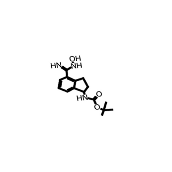 CC(C)(C)OC(=O)NC1CCc2c(C(=N)NO)cccc21